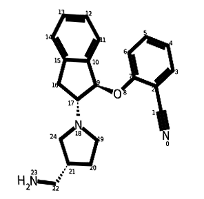 N#Cc1ccccc1O[C@@H]1c2ccccc2C[C@H]1N1CC[C@H](CN)C1